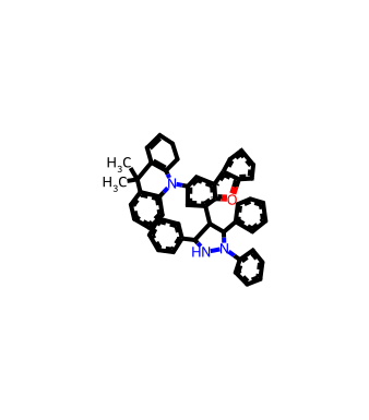 CC1(C)C2=C(CCC=C2)N(c2cc(C3C(c4ccccc4)NN(c4ccccc4)C3c3ccccc3)c3oc4ccccc4c3c2)c2ccccc21